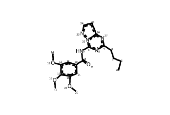 CCCCc1nc(NC(=O)c2cc(OC)c(OC)c(OC)c2)n2nccc2n1